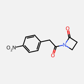 O=C1CCN1C(=O)Cc1ccc([N+](=O)[O-])cc1